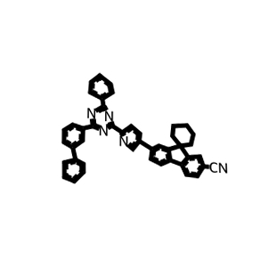 N#Cc1ccc2c(c1)C1(CCCCC1)c1cc(-c3ccc(-c4nc(-c5ccccc5)nc(-c5cccc(-c6ccccc6)c5)n4)nc3)ccc1-2